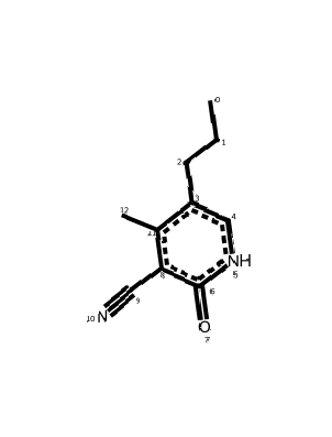 CCCc1c[nH]c(=O)c(C#N)c1C